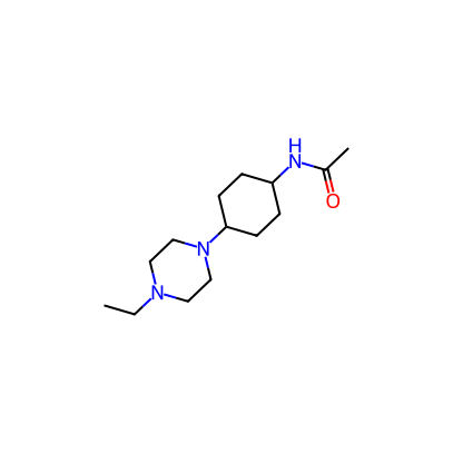 CCN1CCN(C2CCC(NC(C)=O)CC2)CC1